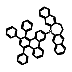 c1ccc(-c2cc(-c3ccccc3)c3c4ccccc4c4cc(N5c6cc7ccccc7cc6CCc6cc7ccccc7cc65)ccc4c3c2-c2ccccc2)cc1